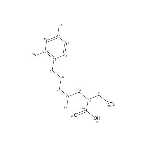 Cc1ccc(CCCC(C)CC(CN)C(=O)O)c(C)c1